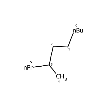 [CH2]CCCCCC(C)CCC